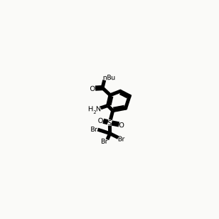 CCCCC(=O)c1cccc(S(=O)(=O)C(Br)(Br)Br)c1N